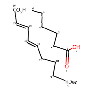 CCCCCC(=O)O.CCCCCCCCCCCCCC=CC=CC(=O)O